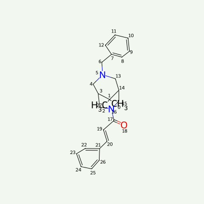 CC1(C)C2CN(Cc3ccccc3)CC1CN(C(=O)C=Cc1ccccc1)C2